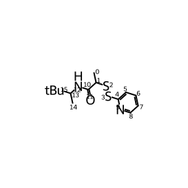 CC(SSc1ccccn1)C(=O)NC(C)C(C)(C)C